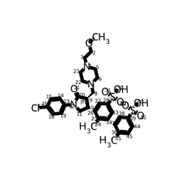 COCCN1CCN(C[C@H]2CCN(c3ccc(Cl)cc3)C2=O)CC1.Cc1ccc(S(=O)(=O)O)cc1.Cc1ccc(S(=O)(=O)O)cc1